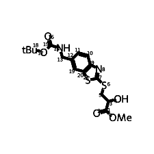 COC(=O)C(O)CSc1nc2ccc(CNC(=O)OC(C)(C)C)cc2s1